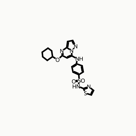 O=S(=O)(Nc1nccs1)c1ccc(Nc2cc(OC3CCCCC3)nc3ccnn23)cc1